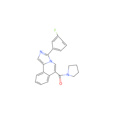 O=C(c1cn2c(-c3cccc(F)c3)ncc2c2ccccc12)N1CCCC1